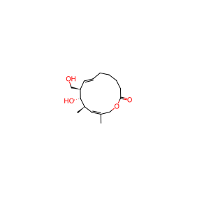 C/C1=C/[C@@H](C)[C@H](O)[C@@H](CO)/C=C/CCCCC(=O)OC1